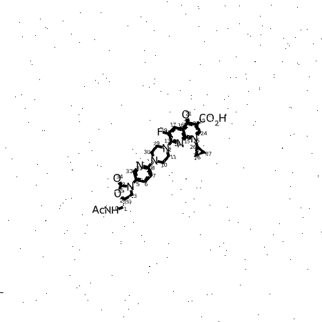 CC(=O)NC[C@H]1CN(c2ccc(N3CCN(c4nc5c(cc4F)c(=O)c(C(=O)O)cn5C4CC4)CC3)nc2)C(=O)O1